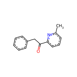 Cc1cccc(C(=O)Cc2ccccc2)n1